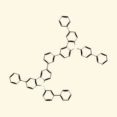 c1ccc(-c2ccc(-n3c4ccc(-c5ccccc5)cc4c4cc(-c5cccc(-c6ccc7c(c6)c6cc(-c8ccccc8)ccc6n7-c6cccc(-c7ccccc7)c6)c5)ccc43)cc2)cc1